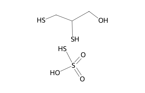 O=S(=O)(O)S.OCC(S)CS